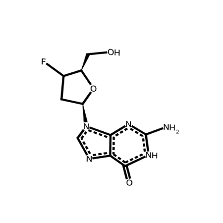 Nc1nc2c(ncn2[C@H]2CC(F)[C@@H](CO)O2)c(=O)[nH]1